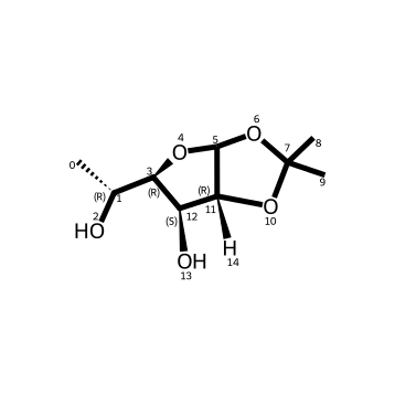 C[C@@H](O)[C@H]1OC2OC(C)(C)O[C@@H]2[C@H]1O